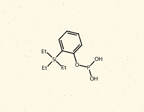 CC[Si](CC)(CC)c1ccccc1OP(O)O